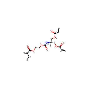 C=CC(=O)OCC(C)(COC(=O)C=C)NC(=O)OCCOC(=O)C(C)CC